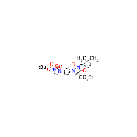 CCOC(=O)c1cn(-c2ccc(N3CCN(C(=O)OC(C)(C)C)S3(=O)=O)cc2)c(=O)n(Cc2cccc(C)c2C)c1=O